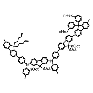 C=CCCCC1(CCCC=C)c2cc(C)ccc2-c2ccc(-c3ccc(N(c4ccc(C)cc4)c4ccc5c(c4)C(CCCCCCCC)(CCCCCCCC)c4cc(N(c6ccc(C)cc6)c6ccc(-c7ccc8c(c7)C(CCCCCCCC)(CCCCCCCC)c7cc(-c9ccc%10c(c9)C(c9cccc(CCCCCC)c9)(c9cccc(CCCCCC)c9)c9cc(C)ccc9-%10)ccc7-8)cc6)ccc4-5)cc3)cc21